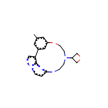 CC(=O)c1cc2cc(c1)-c1cnn3ccc(nc13)NCCN(C1COC1)CCO2